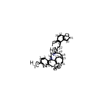 Cc1ccc2c(n1)CS(=O)(=O)C1=C3CCC(C=N1)CC/C(NCc1c(F)ccc4c1CCO4)=N\C=C/32